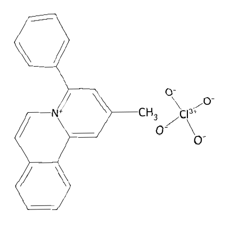 Cc1cc(-c2ccccc2)[n+]2ccc3ccccc3c2c1.[O-][Cl+3]([O-])([O-])[O-]